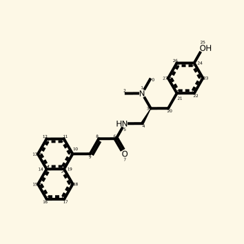 CN(C)[C@H](CNC(=O)/C=C/c1cccc2ccccc12)Cc1ccc(O)cc1